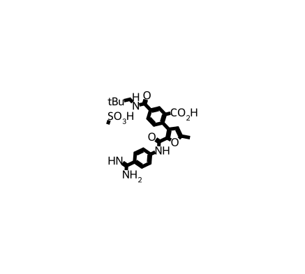 CS(=O)(=O)O.Cc1cc(-c2ccc(C(=O)NCC(C)(C)C)cc2C(=O)O)c(C(=O)Nc2ccc(C(=N)N)cc2)o1